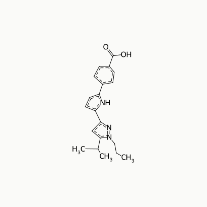 CCCn1nc(-c2ccc(-c3ccc(C(=O)O)cc3)[nH]2)cc1C(C)C